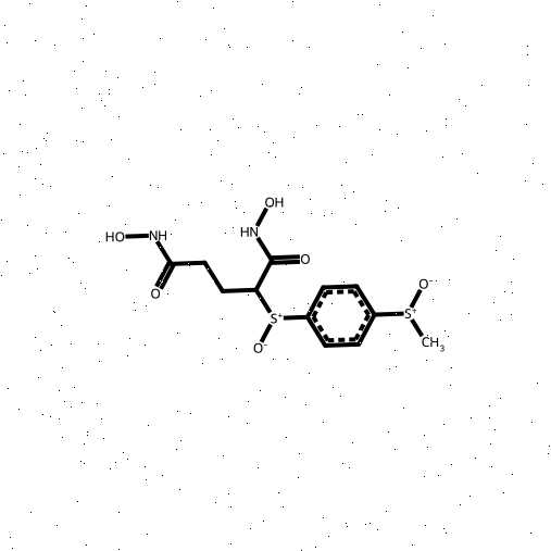 C[S+]([O-])c1ccc([S+]([O-])C(CCC(=O)NO)C(=O)NO)cc1